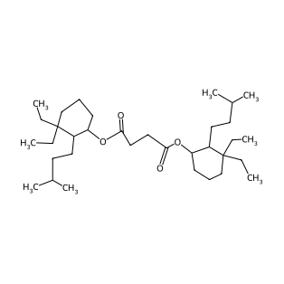 CCC1(CC)CCCC(OC(=O)CCC(=O)OC2CCCC(CC)(CC)C2CCC(C)C)C1CCC(C)C